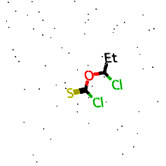 CCC(Cl)OC(=S)Cl